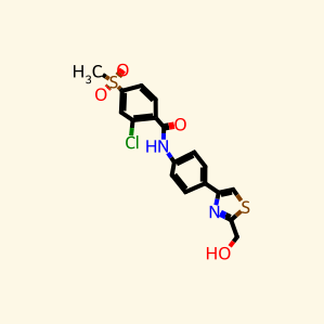 CS(=O)(=O)c1ccc(C(=O)Nc2ccc(-c3csc(CO)n3)cc2)c(Cl)c1